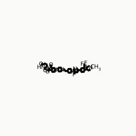 CN1CCc2c(n(C(F)F)c3cc(-c4cnc(N5CCC(CCN6CCN(c7ccc8c(c7)C(=O)N(C7CCC(=O)NC7=O)C8=O)CC6)CC5)c(F)c4)ccc23)C1